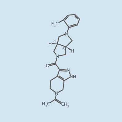 C=C(C)N1CCc2c(C(=O)N3C[C@@H]4CN(c5ccccc5C(F)(F)F)C[C@@H]4C3)n[nH]c2C1